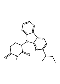 CCC(C)c1ccc2c3ccccc3n(C3CCC(=O)NC3=O)c2n1